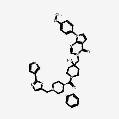 COc1ccc(-n2ccc3c(=O)n(CC4(O)CCN(C(=O)[C@@H]5CCN(Cc6cnc(-c7ccsc7)s6)C[C@H]5c5ccccc5)CC4)cnc32)cc1